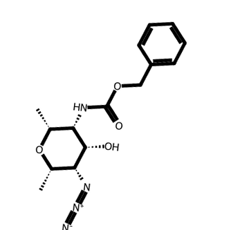 C[C@@H]1O[C@H](C)[C@H](NC(=O)OCc2ccccc2)[C@H](O)[C@@H]1N=[N+]=[N-]